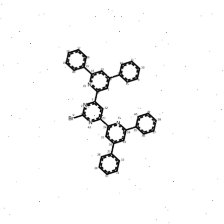 Brc1nc(-c2cc(-c3ccccc3)cc(-c3ccccc3)n2)cc(-c2cc(-c3ccccc3)cc(-c3ccccc3)n2)n1